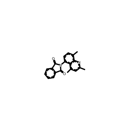 Cc1cc(C)c2c(N3C(=O)c4ccccc4C3=O)ccc(C)c2n1